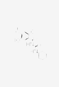 COc1cc(Cl)c(C(=O)NC(=O)NC2CCCCC2)cc1O